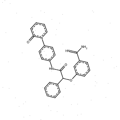 N=C(N)c1cccc(OC(C(=O)Nc2ccc(-n3ccccc3=O)cc2)c2ccccc2)c1